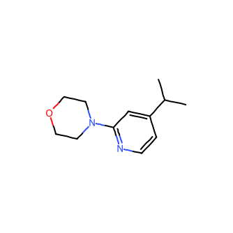 CC(C)c1ccnc(N2CCOCC2)c1